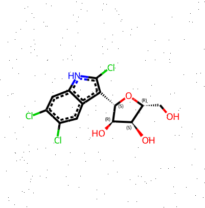 OC[C@H]1O[C@@H](c2c(Cl)[nH]c3cc(Cl)c(Cl)cc23)[C@H](O)[C@@H]1O